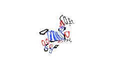 CCOC(=O)ON1CCN(C(=O)[C@@H](C)NC(=O)c2cc(OCC(=O)N3CCC[C@H]3C(=O)NC3CCC3)n(-c3ccccc3)n2)CC1